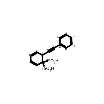 O=S(=O)(O)C1(S(=O)(=O)O)C=CC=CC1C#Cc1ccccc1